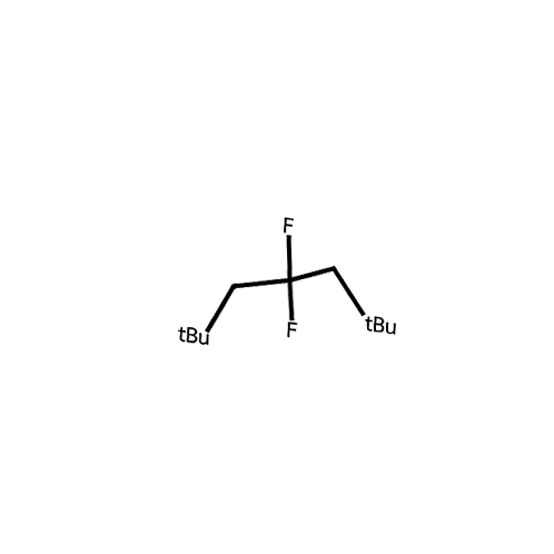 CC(C)(C)CC(F)(F)CC(C)(C)C